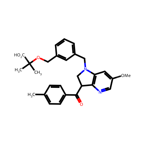 COc1cnc2c(c1)N(Cc1cccc(COC(C)(C)C(=O)O)c1)CC2C(=O)c1ccc(C)cc1